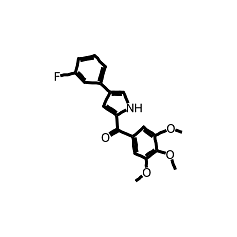 COc1cc(C(=O)c2cc(-c3cccc(F)c3)c[nH]2)cc(OC)c1OC